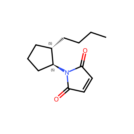 CCCC[C@H]1CCC[C@@H]1N1C(=O)C=CC1=O